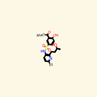 CCc1ccc(NS(=O)(=O)c2ccc(O)c(C(=O)OC)c2)c(CCC(C)O)n1